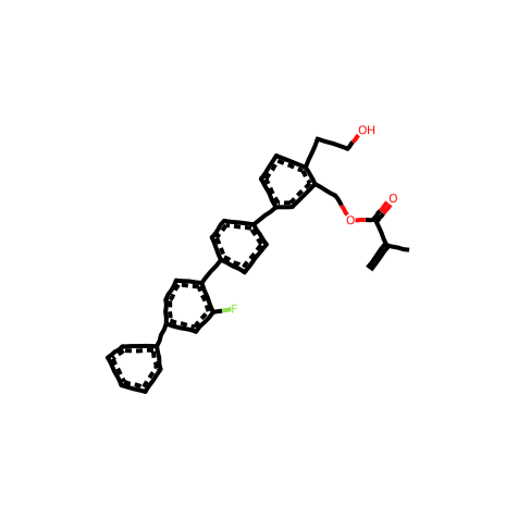 C=C(C)C(=O)OCc1cc(-c2ccc(-c3ccc(-c4ccccc4)cc3F)cc2)ccc1CCO